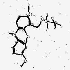 COc1ccc2c(c1)Sc1c(ccc(OC)c1CO[Si](C)(C)C(C)(C)C)N2C